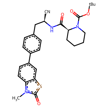 Cn1c(=O)sc2cc(-c3ccc(C[C@@H](C#N)NC(=O)[C@@H]4CCCCN4C(=O)OC(C)(C)C)cc3)ccc21